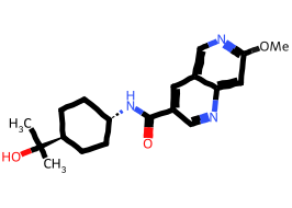 COc1cc2ncc(C(=O)N[C@H]3CC[C@H](C(C)(C)O)CC3)cc2cn1